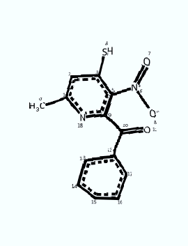 Cc1cc(S)c([N+](=O)[O-])c(C(=O)c2ccccc2)n1